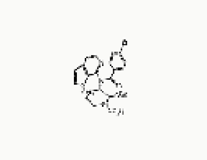 Cn1ccc2ccnc(N(C(=O)c3ccc(Br)cc3)[C@@H]3CCCN(C(=O)O)C3C(C)(C)C)c21